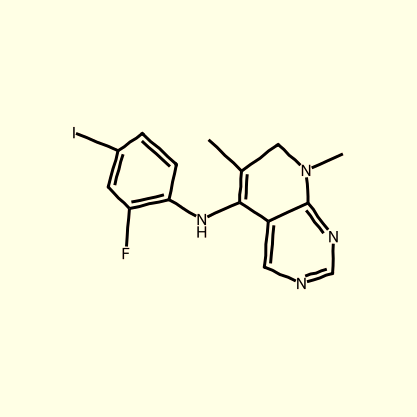 CC1=C(Nc2ccc(I)cc2F)c2cncnc2N(C)C1